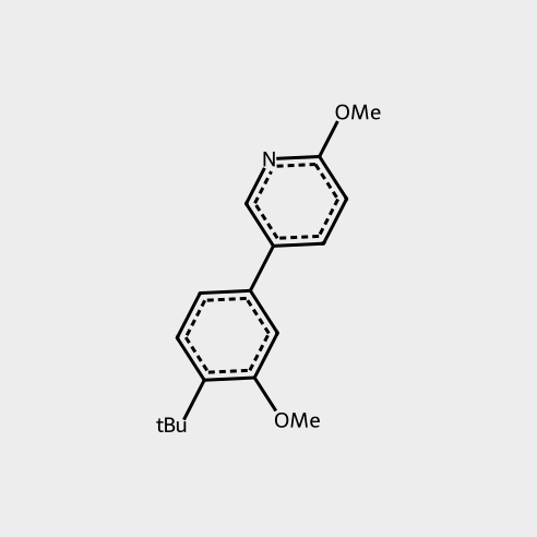 COc1ccc(-c2ccc(C(C)(C)C)c(OC)c2)cn1